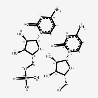 Nc1ccn([C@@H]2O[C@H](CO)[C@@H](O)[C@H]2O)c(=O)n1.Nc1ccn([C@@H]2O[C@H](COP(=O)(O)O)[C@@H](O)[C@H]2O)c(=O)n1